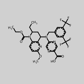 CCOC(=O)N1c2ccc(OC)nc2C(N(Cc2cc(C(F)(F)F)cc(C(F)(F)F)c2)c2cnc(C(=O)O)cn2)CC1CC